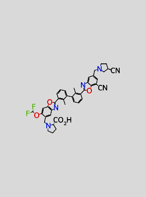 Cc1c(-c2nc3cc(CN4CCC[C@H]4C(=O)O)c(OC(F)F)cc3o2)cccc1-c1cccc(-c2nc3cc(CN4CC[C@@H](C#N)C4)cc(C#N)c3o2)c1C